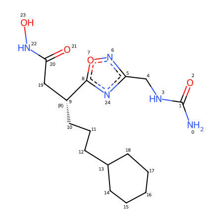 NC(=O)NCc1noc([C@H](CCCC2CCCCC2)CC(=O)NO)n1